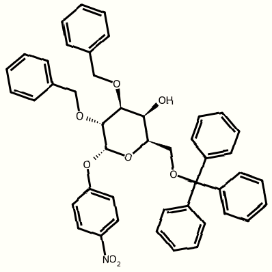 O=[N+]([O-])c1ccc(O[C@H]2O[C@H](COC(c3ccccc3)(c3ccccc3)c3ccccc3)[C@H](O)[C@H](OCc3ccccc3)[C@H]2OCc2ccccc2)cc1